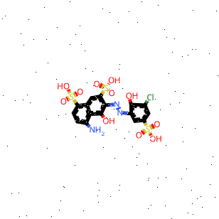 Nc1ccc(S(=O)(=O)O)c2cc(S(=O)(=O)O)c(N=Nc3cc(S(=O)(=O)O)cc(Cl)c3O)c(O)c12